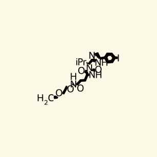 C=COCCONC(=O)CCC1NC(=O)N([C@H](c2ncc(-c3ccc(I)cc3)[nH]2)C(C)C)C1=O